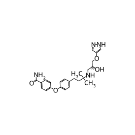 CC(C)(CCc1ccc(Oc2ccc(C(N)=O)cc2)cc1)NC[C@H](O)COc1cn[nH]c1